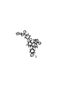 CC(C)(C)OC(=O)N1CCC(Oc2ccnc(Nc3ccc(C(F)(F)F)cc3)c2-c2noc(=O)[nH]2)CC1